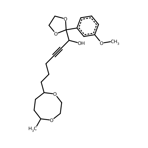 COc1cccc(C2(C(O)C#CCCCC3CCC(C)OCCO3)OCCO2)c1